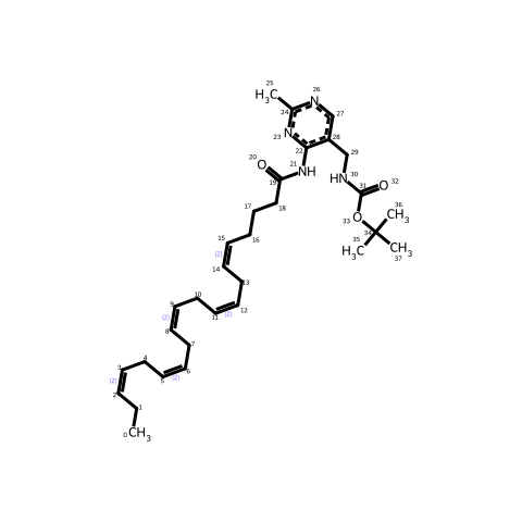 CC/C=C\C/C=C\C/C=C\C/C=C\C/C=C\CCCC(=O)Nc1nc(C)ncc1CNC(=O)OC(C)(C)C